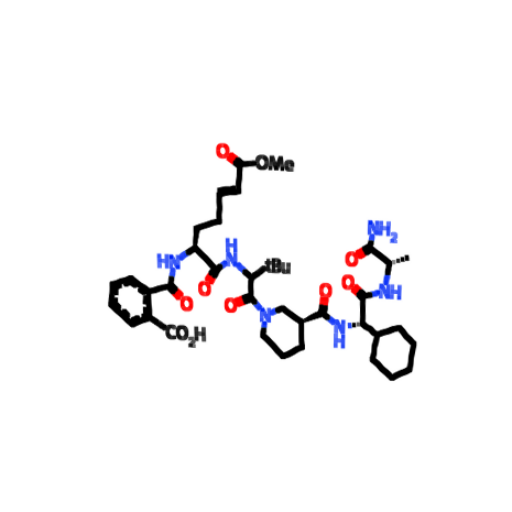 COC(=O)/C=C/CC[C@H](NC(=O)c1ccccc1C(=O)O)C(=O)NC(C(=O)N1CCC[C@H](C(=O)N[C@H](C(=O)N[C@@H](C)C(N)=O)C2CCCCC2)C1)C(C)(C)C